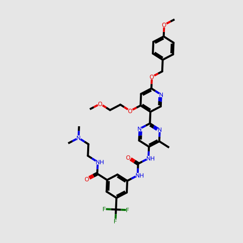 COCCOc1cc(OCc2ccc(OC)cc2)ncc1-c1ncc(NC(=O)Nc2cc(C(=O)NCCN(C)C)cc(C(F)(F)F)c2)c(C)n1